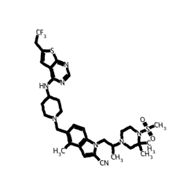 Cc1c(CN2CCC(Nc3ncnc4sc(CC(F)(F)F)cc34)CC2)ccc2c1cc(C#N)n2CC(C)N1CCN(S(C)(=O)=O)C(C)(C)C1